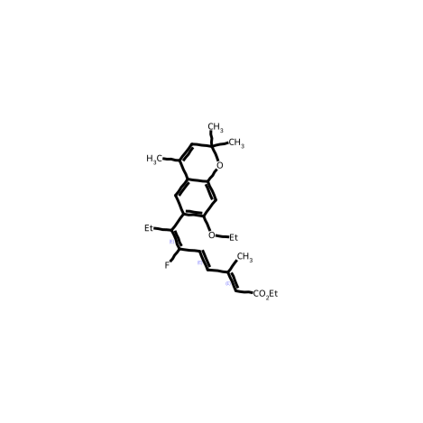 CCOC(=O)/C=C(C)/C=C/C(F)=C(/CC)c1cc2c(cc1OCC)OC(C)(C)C=C2C